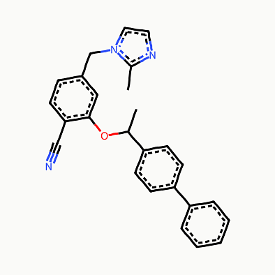 Cc1nccn1Cc1ccc(C#N)c(OC(C)c2ccc(-c3ccccc3)cc2)c1